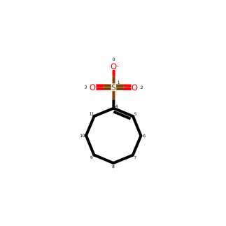 [O]S(=O)(=O)/C1=C/CCCCCC1